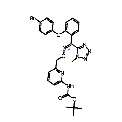 Cn1nnnc1/C(=N\OCc1cccc(NC(=O)OC(C)(C)C)n1)c1ccccc1Oc1ccc(Br)cc1